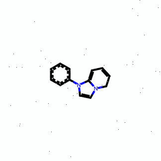 C1=CCN2C=CN(c3ccccc3)C2=C1